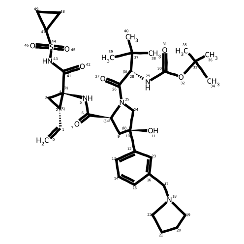 C=C[C@@H]1C[C@]1(NC(=O)[C@@H]1C[C@@](O)(c2cccc(CN3CCCC3)c2)CN1C(=O)[C@@H](NC(=O)OC(C)(C)C)C(C)(C)C)C(=O)NS(=O)(=O)C1CC1